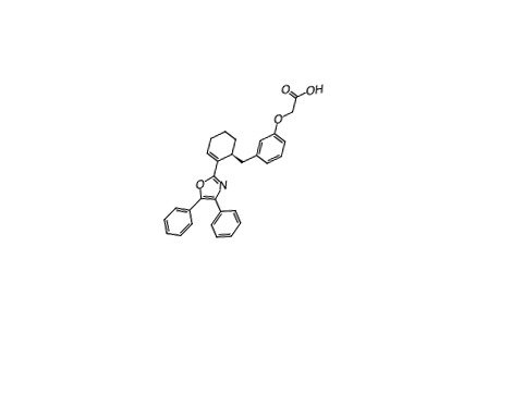 O=C(O)COc1cccc(C[C@@H]2CCCC=C2c2nc(-c3ccccc3)c(-c3ccccc3)o2)c1